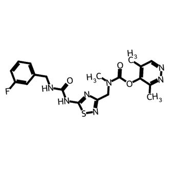 Cc1cnnc(C)c1OC(=O)N(C)Cc1nsc(NC(=O)NCc2cccc(F)c2)n1